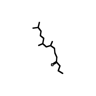 CCCC(=O)CCCC(C)CC(C)CCCC(C)C